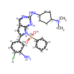 CN(C)C1CCC(Nc2ncc3cc(-c4ccc(F)c(N)c4)n(S(=O)(=O)c4ccccc4)c3n2)CC1